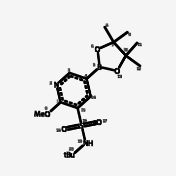 COc1ncc(B2OC(C)(C)C(C)(C)O2)cc1S(=O)(=O)NC(C)(C)C